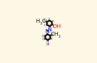 Cc1ccc(O)c(N=Nc2ccc(I)cc2C)c1